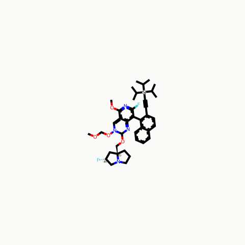 COCON1C=c2c(OC)nc(F)c(-c3c(C#C[Si](C(C)C)(C(C)C)C(C)C)ccc4ccccc34)c2=NC1OC[C@@]12CCCN1C[C@H](F)C2